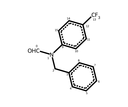 O=CN(Cc1ccccc1)c1ccc(C(F)(F)F)cc1